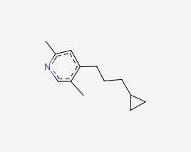 Cc1cc(CCCC2CC2)c(C)cn1